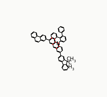 CC1(C)c2ccccc2-c2ccc(-c3ccc(N(c4ccc(-c5ccc6c(ccc7ccccc76)c5)cc4)c4cccc(-c5ccccc5)c4-c4ccccc4-c4ccccc4)cc3)cc21